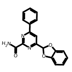 NC(=O)c1nc(-c2ccccc2)cc(C2Oc3ccccc3O2)n1